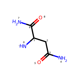 [NH]C(CC(N)=O)C(N)=O